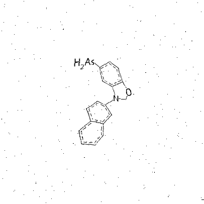 [AsH2]c1ccc2c(c1)N(c1ccc3ccccc3c1)CO2